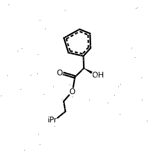 CC(C)CCOC(=O)[C@H](O)c1ccccc1